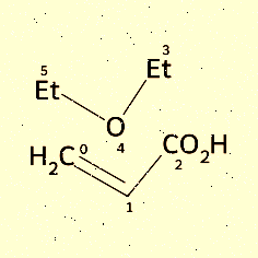 C=CC(=O)O.CCOCC